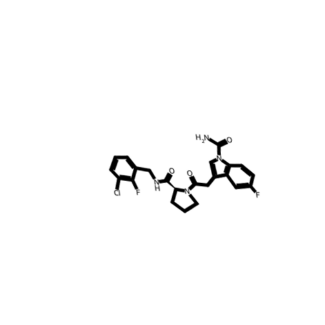 NC(=O)n1cc(CC(=O)N2CCC[C@H]2C(=O)NCc2cccc(Cl)c2F)c2cc(F)ccc21